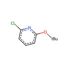 CC(C)(C)Oc1cccc(Cl)n1